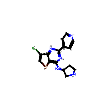 Brc1csc2c(NC3CCNC3)nc(-c3ccncc3)nc12